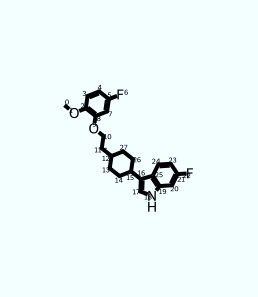 COc1ccc(F)cc1OC[CH]C1CCC(c2c[nH]c3cc(F)ccc23)CC1